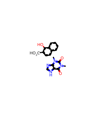 Cn1c(=O)c2[nH]cnc2n(C)c1=O.O=C(O)c1ccc2ccccc2c1O